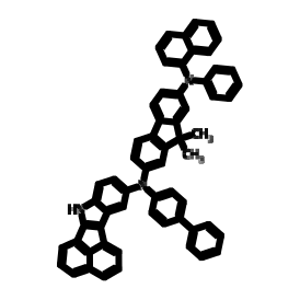 CC1(C)c2cc(N(c3ccc(-c4ccccc4)cc3)c3ccc4[nH]c5c(c4c3)-c3cccc4cccc-5c34)ccc2-c2ccc(N(c3ccccc3)c3cccc4ccccc34)cc21